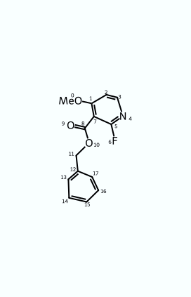 COc1ccnc(F)c1C(=O)OCc1ccccc1